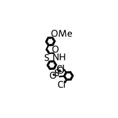 COc1ccc(C=C2Sc3ccc(S(=O)(=O)Cc4c(Cl)cccc4Cl)cc3NC2=O)cc1